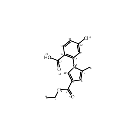 CCOC(=O)c1cc(C)n(-c2cc(Cl)ccc2C(=O)O)c1